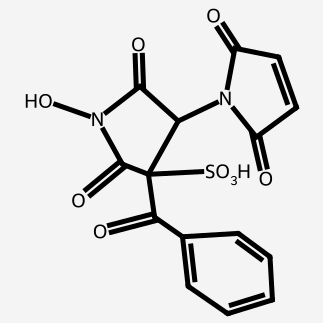 O=C1C(N2C(=O)C=CC2=O)C(C(=O)c2ccccc2)(S(=O)(=O)O)C(=O)N1O